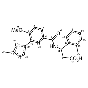 COc1ccc(C(=O)NC(CC(=O)O)c2ccccc2C)nc1-c1ccc(C)o1